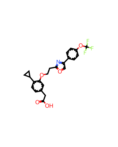 O=C(O)Cc1ccc(C2CC2)c(OCCc2nc(-c3ccc(OC(F)(F)F)cc3)co2)c1